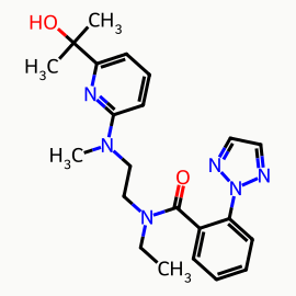 CCN(CCN(C)c1cccc(C(C)(C)O)n1)C(=O)c1ccccc1-n1nccn1